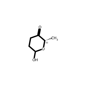 C[C@@H]1OC(O)CCC1=O